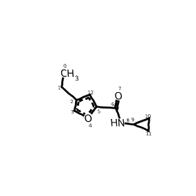 CCc1coc(C(=O)NC2CC2)c1